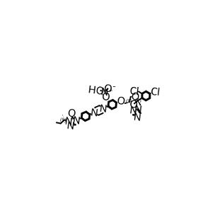 CC[C@H](C)n1ncn(-c2ccc(N3CCN(c4ccc(OC[C@H]5CO[C@](Cn6cncn6)(c6ccc(Cl)cc6Cl)O5)cc4)CC3)cc2)c1=O.O=[N+]([O-])O